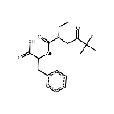 CCN(CC(=O)C(C)(C)C)C(=O)NC(Cc1ccccc1)C(=O)O